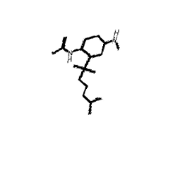 C=C(C)NC1CCC(NC)CC1C(C)(C)CCCC(C)C